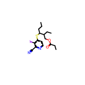 CCCC(Sc1ccnc(C#N)c1I)C(CC)COC(=O)CC